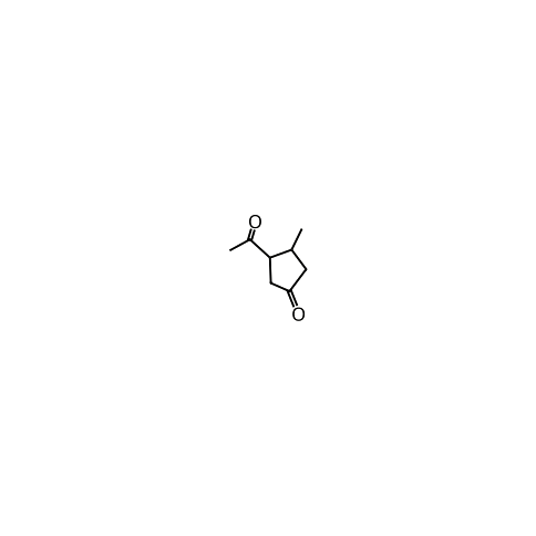 CC(=O)C1CC(=O)CC1C